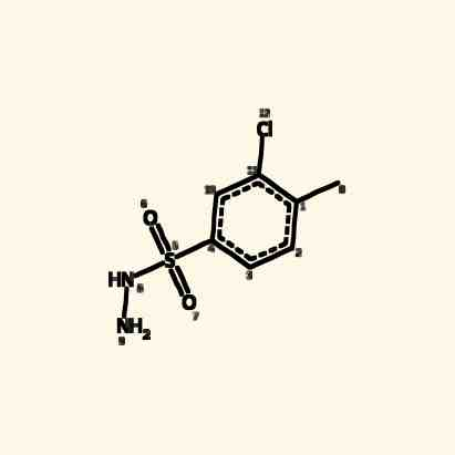 Cc1ccc(S(=O)(=O)NN)cc1Cl